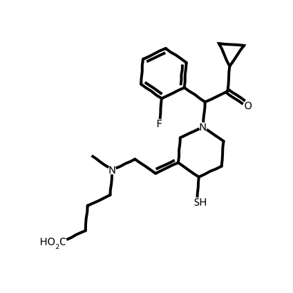 CN(CC=C1CN(C(C(=O)C2CC2)c2ccccc2F)CCC1S)CCCC(=O)O